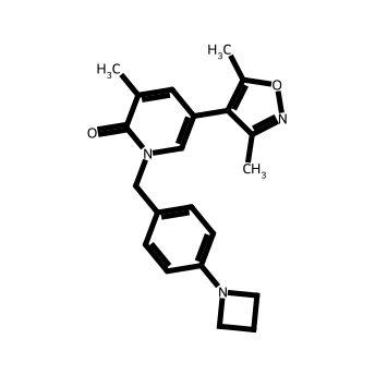 Cc1noc(C)c1-c1cc(C)c(=O)n(Cc2ccc(N3CCC3)cc2)c1